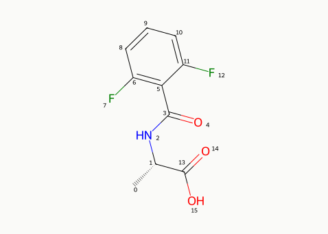 C[C@H](NC(=O)c1c(F)cccc1F)C(=O)O